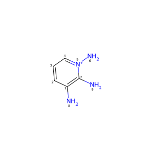 Nc1ccc[n+](N)c1N